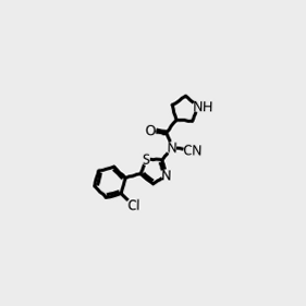 N#CN(C(=O)C1CCNC1)c1ncc(-c2ccccc2Cl)s1